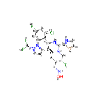 O/N=C/CCC1=C(c2ccn(C(F)F)n2)[C@H](c2ccc(F)cc2Cl)N=C(c2nccs2)N1CCF